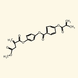 C=C(C)C(=O)Oc1ccc(C(=O)Oc2ccc(OC(=O)C(=C)CC(=O)OC)cc2)cc1